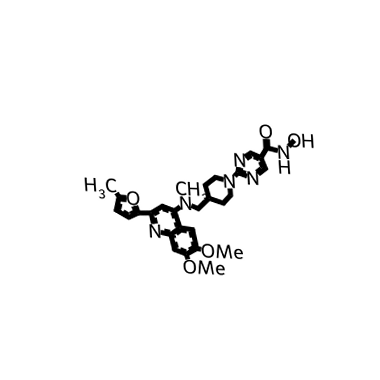 COc1cc2nc(-c3ccc(C)o3)cc(N(C)CC3CCN(c4ncc(C(=O)NO)cn4)CC3)c2cc1OC